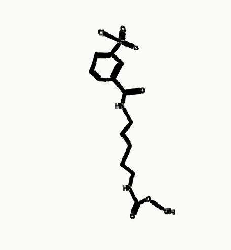 CC(C)(C)OC(=O)NCCCCCNC(=O)c1cccc(S(=O)(=O)Cl)c1